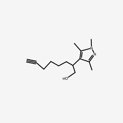 C#CCCCCC(CO)c1c(C)nn(C)c1C